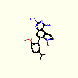 COc1ccc(C(C)C)cc1-c1cc2nc(N)nc(N)c2c2ccn(C)c12